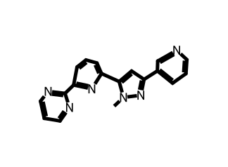 Cn1nc(-c2cccnc2)cc1-c1cccc(-c2ncccn2)n1